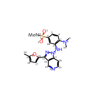 CNS(=O)(=O)c1ccc(N(C)C)c(Nn2nc(-c3ccc(C)o3)c3cnccc32)c1